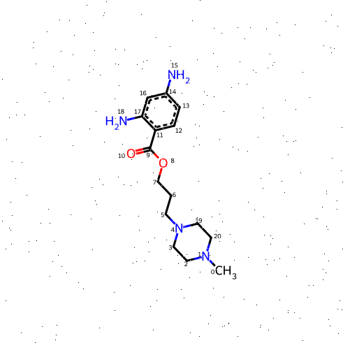 CN1CCN(CCCOC(=O)c2ccc(N)cc2N)CC1